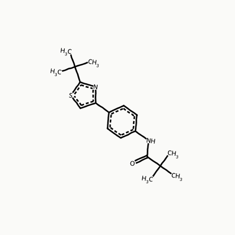 CC(C)(C)C(=O)Nc1ccc(-c2csc(C(C)(C)C)n2)cc1